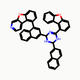 c1ccc2cc(C3NC(c4cccc5oc6ccccc6c45)=NC(c4cc(-c5cccc6oc7cnccc7c56)c5ccccc5c4)N3)ccc2c1